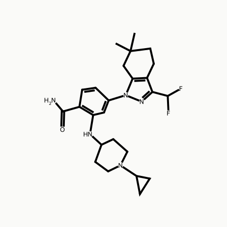 CC1(C)CCc2c(C(F)F)nn(-c3ccc(C(N)=O)c(NC4CCN(C5CC5)CC4)c3)c2C1